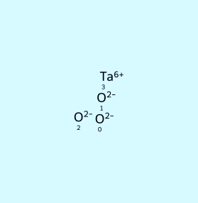 [O-2].[O-2].[O-2].[Ta+6]